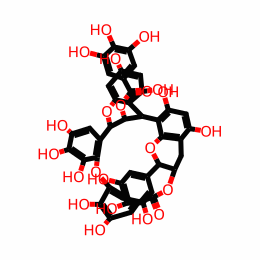 O=C1OC2Cc3c(O)cc(O)c(c3OC2c2cc(O)c(O)c(O)c2)C2c3c(O)cc(O)cc3OC(c3cc(O)c(O)c(O)c3Oc3cc1cc(O)c3O)C2OC(=O)c1cc(O)c(O)c(O)c1